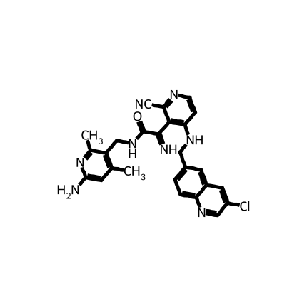 Cc1cc(N)nc(C)c1CNC(=O)C(=N)c1c(NCc2ccc3ncc(Cl)cc3c2)ccnc1C#N